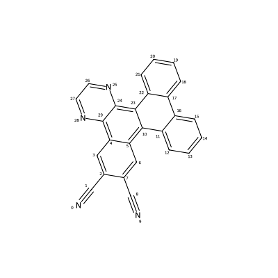 N#Cc1cc2c(cc1C#N)c1c3ccccc3c3ccccc3c1c1nccnc21